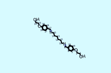 OCCOc1ccc(/C=N/CCCCCC/N=C/c2ccc(OCCO)cc2)cc1